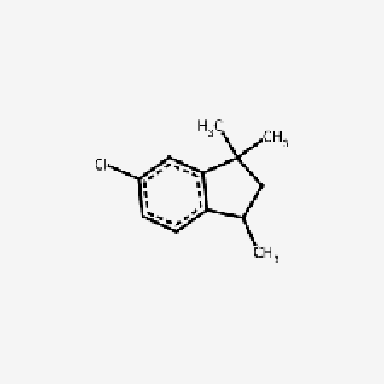 CC1CC(C)(C)c2cc(Cl)ccc21